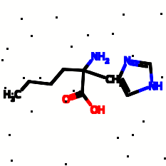 CCCCC(C)(N)C(=O)O.c1c[nH]cn1